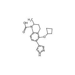 CC1CCc2c(ccc(-c3cn[nH]c3)c2OC2CCC2)N1C(=O)O